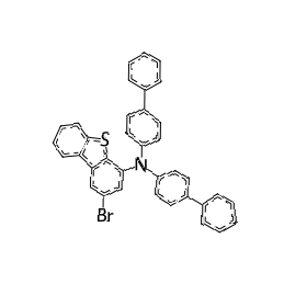 Brc1cc(N(c2ccc(-c3ccccc3)cc2)c2ccc(-c3ccccc3)cc2)c2sc3ccccc3c2c1